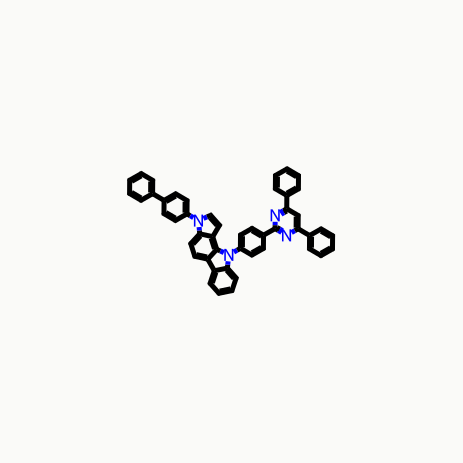 c1ccc(-c2ccc(-n3ccc4c3ccc3c5ccccc5n(-c5ccc(-c6nc(-c7ccccc7)cc(-c7ccccc7)n6)cc5)c34)cc2)cc1